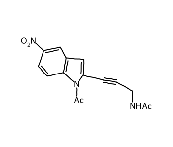 CC(=O)NCC#Cc1cc2cc([N+](=O)[O-])ccc2n1C(C)=O